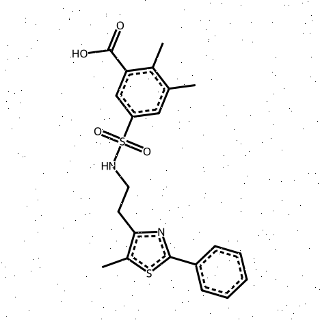 Cc1cc(S(=O)(=O)NCCc2nc(-c3ccccc3)sc2C)cc(C(=O)O)c1C